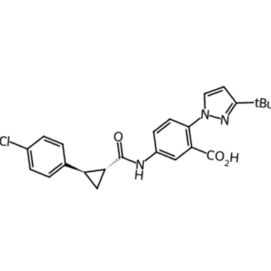 CC(C)(C)c1ccn(-c2ccc(NC(=O)[C@@H]3C[C@H]3c3ccc(Cl)cc3)cc2C(=O)O)n1